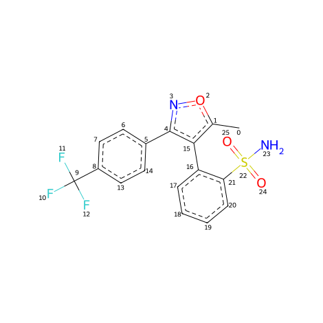 Cc1onc(-c2ccc(C(F)(F)F)cc2)c1-c1ccccc1S(N)(=O)=O